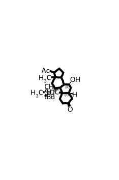 CC(=O)C1CCC2C3C([C@H](O[Si](C)(C)C(C)(C)C)CC12C)C1(C)CCC(=O)C[C@H]1C[C@H]3O